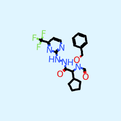 O=CN(OCc1ccccc1)C(C(=O)NNc1nccc(C(F)(F)F)n1)C1CCCC1